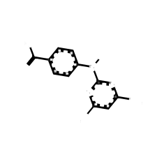 Cc1cc(C)nc(N(C)c2ccc(C(=O)O)cc2)n1